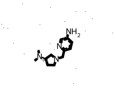 CN(C)[C@@H]1CCN(Cc2ccc(N)cn2)C1